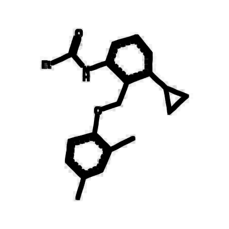 CCC(=O)Nc1cccc(C2CC2)c1COc1ccc(C)cc1C